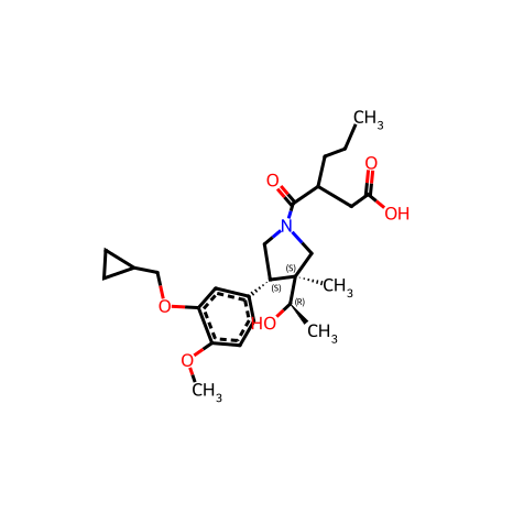 CCCC(CC(=O)O)C(=O)N1C[C@@H](c2ccc(OC)c(OCC3CC3)c2)[C@](C)([C@@H](C)O)C1